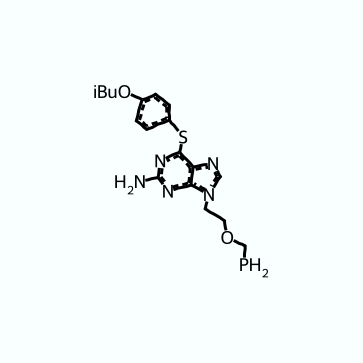 CC(C)COc1ccc(Sc2nc(N)nc3c2ncn3CCOCP)cc1